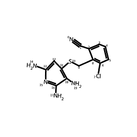 N#Cc1cccc(Cl)c1CSc1cc(N)nc(N)c1N